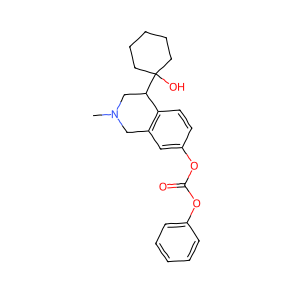 CN1Cc2cc(OC(=O)Oc3ccccc3)ccc2C(C2(O)CCCCC2)C1